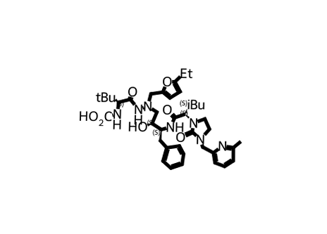 CCc1ccc(CN(C[C@H](O)[C@H](Cc2ccccc2)NC(=O)[C@H]([C@@H](C)CC)N2CCN(Cc3cccc(C)n3)C2=O)NC(=O)[C@@H](NC(=O)O)C(C)(C)C)o1